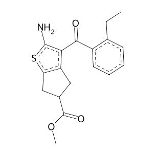 CCc1ccccc1C(=O)c1c(N)sc2c1CC(C(=O)OC)C2